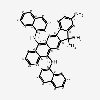 CC1(C)c2cc(N)ccc2-c2cc3c(Nc4cccc5ccccc45)c4ccccc4c(Nc4cccc5ccccc45)c3cc21